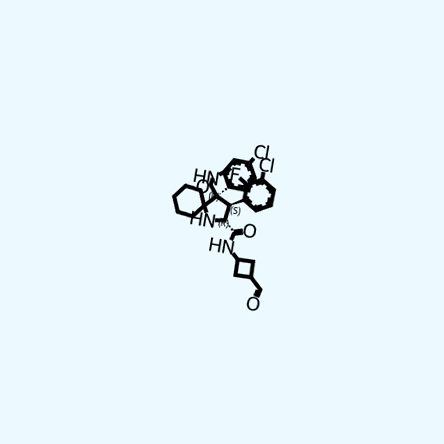 O=CC1CC(NC(=O)[C@@H]2NC3(CCCCC3)[C@@]3(C(=O)Nc4cc(Cl)ccc43)[C@H]2c2cccc(Cl)c2F)C1